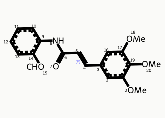 COc1cc(/C=C/C(=O)Nc2ccccc2C=O)cc(OC)c1OC